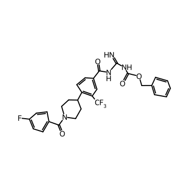 N=C(NC(=O)OCc1ccccc1)NC(=O)c1ccc(C2CCN(C(=O)c3ccc(F)cc3)CC2)c(C(F)(F)F)c1